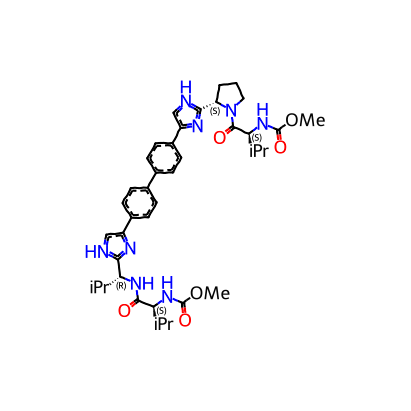 COC(=O)N[C@H](C(=O)N[C@@H](c1nc(-c2ccc(-c3ccc(-c4c[nH]c([C@@H]5CCCN5C(=O)[C@@H](NC(=O)OC)C(C)C)n4)cc3)cc2)c[nH]1)C(C)C)C(C)C